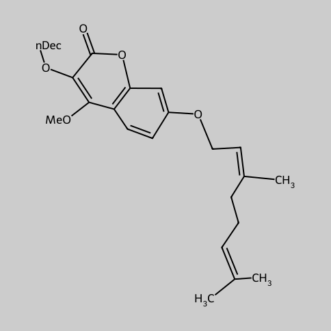 CCCCCCCCCCOc1c(OC)c2ccc(OCC=C(C)CCC=C(C)C)cc2oc1=O